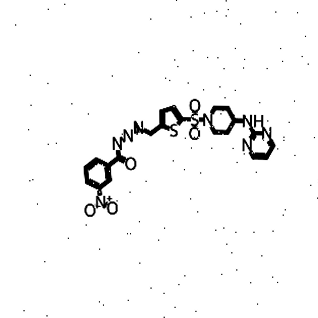 O=C(N=[N+]=NCc1ccc(S(=O)(=O)N2CCC(Nc3ncccn3)CC2)s1)c1cccc([N+](=O)[O-])c1